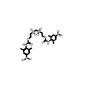 CCN(CC)c1cc(C)c(NC(=O)OCCS(=O)(=O)CS(=O)(=O)CCOC(=O)Nc2c(C)cc(N(CC)CC)cc2C)c(C)c1